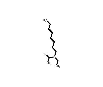 CCC=CC=CCCN(CC)C(C)O